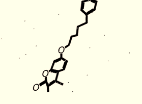 Cc1c(C)c2ccc(OCCCCCc3ccccc3)cc2oc1=O